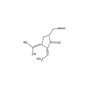 CCCCCCCCCCC1CC(=C(C#N)C#N)/C(=C\C(=O)O)C1=O